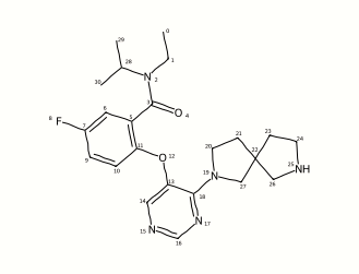 CCN(C(=O)c1cc(F)ccc1Oc1cncnc1N1CCC2(CCNC2)C1)C(C)C